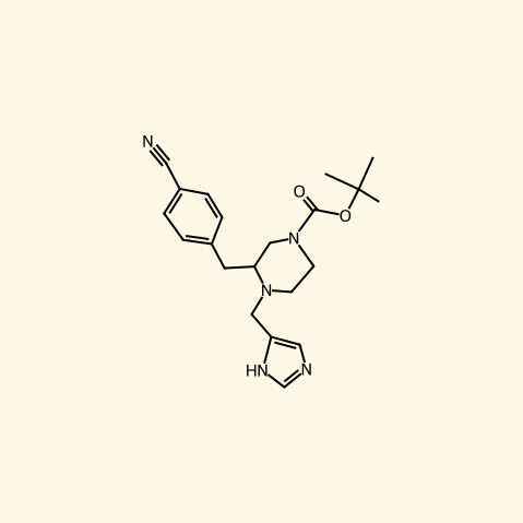 CC(C)(C)OC(=O)N1CCN(Cc2cnc[nH]2)C(Cc2ccc(C#N)cc2)C1